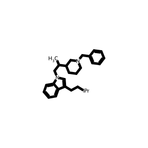 CC(C)CCc1cn(CC(C)C2CCCN(Cc3ccccc3)C2)c2ccccc12